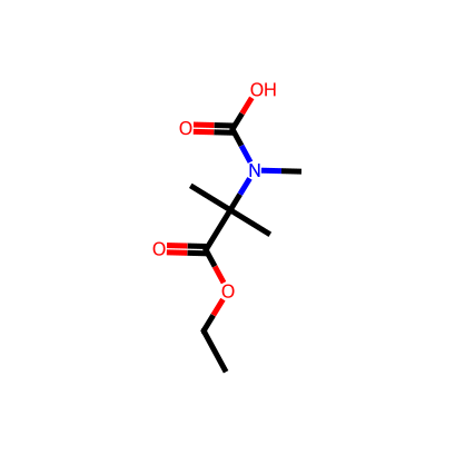 CCOC(=O)C(C)(C)N(C)C(=O)O